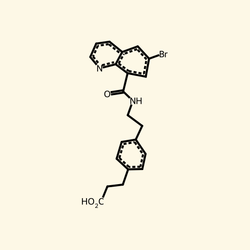 O=C(O)CCc1ccc(CCNC(=O)c2cc(Br)cc3cccnc23)cc1